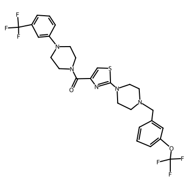 O=C(c1csc(N2CCN(Cc3cccc(OC(F)(F)F)c3)CC2)n1)N1CCN(c2cccc(C(F)(F)F)c2)CC1